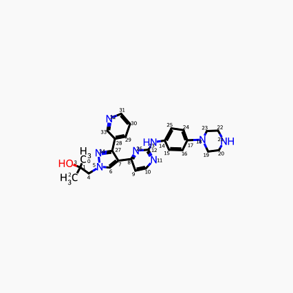 CC(C)(O)Cn1cc(-c2ccnc(Nc3ccc(N4CCNCC4)cc3)n2)c(-c2cccnc2)n1